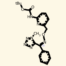 Cn1nnnc1/C(=N\OCc1cccc(NC(=O)OC(C)(C)C)n1)c1ccccc1